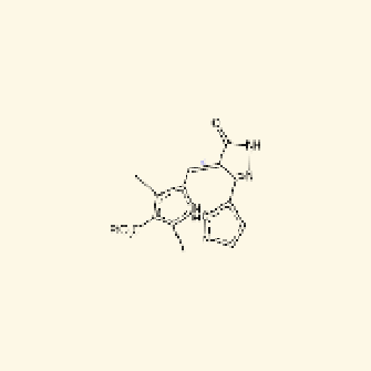 CCOC(=O)c1c(C)[nH]c(/C=C2/C(=O)NN=C2c2ccno2)c1C